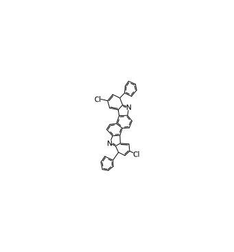 ClC1=CC(c2ccccc2)C2=Nc3ccc4c5c(ccc4c3C2=C1)N=C1C5=CC(Cl)=CC1c1ccccc1